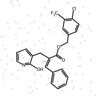 O=C(OCc1ccc(Cl)c(C(F)(F)F)c1)/C(=C\c1ccccc1)Cc1cccnc1O